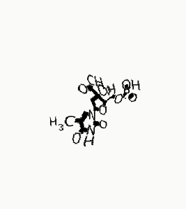 CC(=O)[C@]1(O)C[C@H](n2cc(C)c(=O)[nH]c2=O)O[C@@H]1CO[P](=O)O